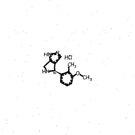 COc1cccc([C@H]2NCc3[nH]ncc32)c1C.Cl